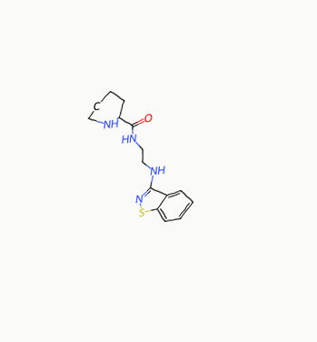 O=C(NCCNc1nsc2ccccc12)C1CCCCN1